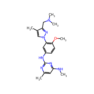 CNc1cc(C)nc(Nc2ccc(OC)c(-n3cc(C)c(CN(C)C)n3)c2)n1